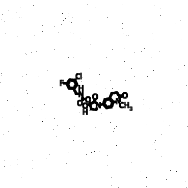 CN1C(=O)CCc2cc(N3CCC(O)(OC(=O)NCc4cc(F)cc(Cl)c4)C3=O)ccc21